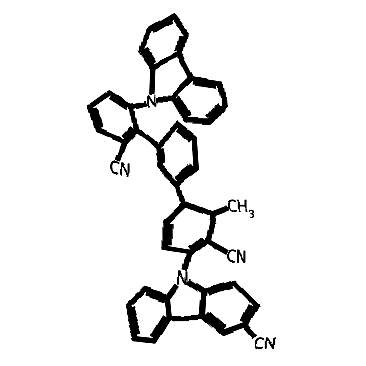 CC1C(C#N)=C(n2c3ccccc3c3cc(C#N)ccc32)C=CC1c1cccc(-c2c(C#N)cccc2-n2c3ccccc3c3ccccc32)c1